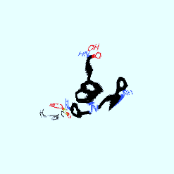 CS(=O)(=O)Nc1ccc(CN(CCc2c[nH]c3ccccc23)C2CCc3cc(C=CC(=O)NO)ccc32)cc1